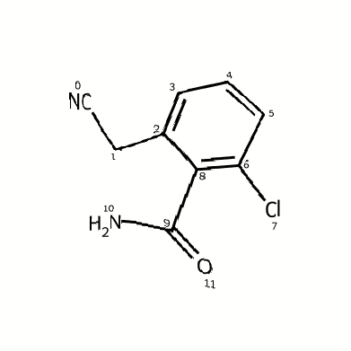 N#C[CH]c1cccc(Cl)c1C(N)=O